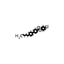 C=CCCCC1CCC(C2CCC(C(=O)Oc3ccc(Cl)cc3)CC2)CC1